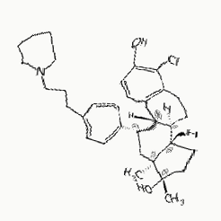 C[C@]1(O)CC[C@H]2[C@@H]3CCc4c(ccc(O)c4Cl)[C@H]3[C@@H](c3ccc(CCCN4CCCCC4)cc3)C[C@@]21C